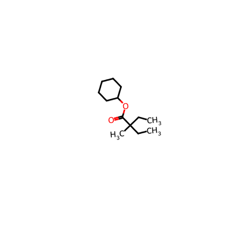 CCC(C)(CC)C(=O)OC1CCCCC1